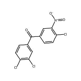 O=C(c1ccc(Cl)c(Cl)c1)c1ccc(Cl)c([N+](=O)[O-])c1